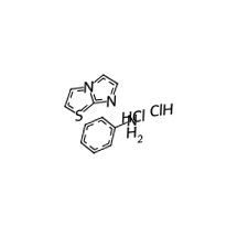 Cl.Cl.Nc1ccccc1.c1cn2ccsc2n1